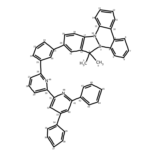 CC1(C)B2c3ccccc3-c3ccccc3N2c2ccc(-c3cccc(-c4cccc(-c5cc(-c6ccccc6)cc(-c6ccccc6)n5)n4)c3)cc21